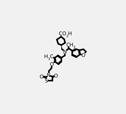 Cc1cc(CN(C[C@H]2CC[C@H](C(=O)O)CC2)C(C)c2ccc3c(c2)CCO3)ccc1OCCN1C(=O)CSC1=O